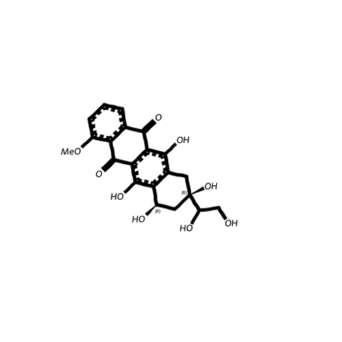 COc1cccc2c1C(=O)c1c(O)c3c(c(O)c1C2=O)C[C@](O)(C(O)CO)C[C@H]3O